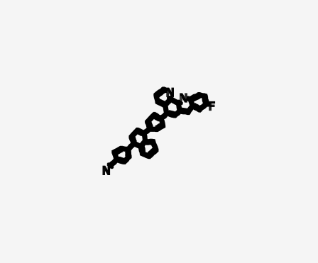 N#Cc1ccc(-c2ccc(-c3ccc(-c4cc5cc6cc(F)ccc6nc5c5ncccc45)cc3)c3ccccc23)cc1